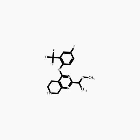 COC(C)c1nc2c(c(Sc3ccc(F)cc3C(F)(F)F)n1)CCNC2